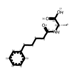 C[C@H](NC(=O)CCCCc1ccccc1)C(=O)O